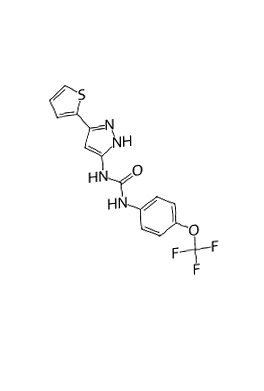 O=C(Nc1ccc(OC(F)(F)F)cc1)Nc1cc(-c2cccs2)n[nH]1